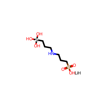 O=S(=O)(O)CCCNCCC[Si](O)(O)O.[LiH]